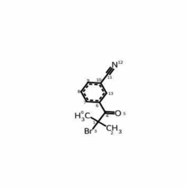 CC(C)(Br)C(=O)c1cccc(C#N)c1